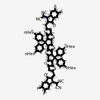 [C-]#[N+]/C(C#N)=C1\C(=C\c2cc3sc4c(c3s2)C(c2ccc(CCCCCC)cc2)(c2ccc(CCCCCC)cc2)c2c-4sc3c4c(sc23)-c2sc3cc(/C=C5\C(=O)c6cc(F)c(F)cc6\C5=C(\C#N)[N+]#[C-])sc3c2C4(c2ccc(CCCCCC)cc2)c2ccc(CCCCCC)cc2)C(=O)c2cc(F)c(F)cc21